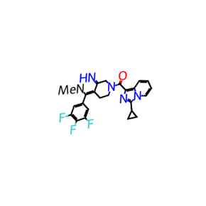 CN/C(=C1/CCN(C(=O)c2nc(C3CC3)n3ccccc23)CC1=N)c1cc(F)c(F)c(F)c1